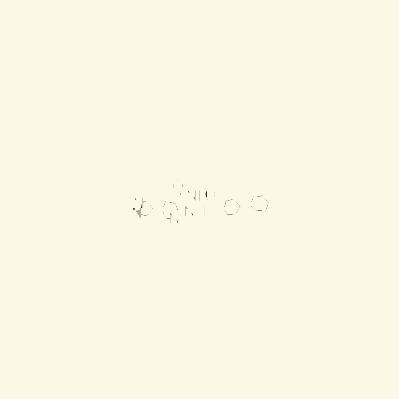 Cn1cc(-c2cnc(N)c(C(=O)N[C@H]3CCC[C@@H]3OCc3cccc(-c4ccccc4)c3)c2)cn1